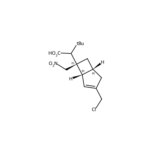 CC(C)(C)C(C(=O)O)[C@]1(C[N+](=O)[O-])C[C@@H]2CC(CCl)=C[C@@H]21